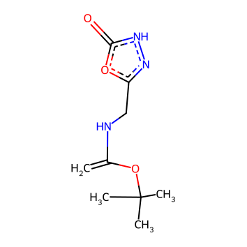 C=C(NCc1n[nH]c(=O)o1)OC(C)(C)C